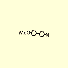 C=NC1CCC(C2CCC(OC)CC2)CC1